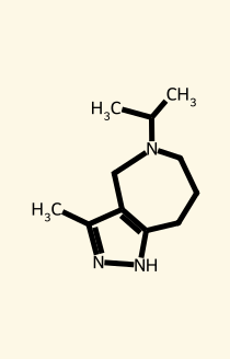 Cc1n[nH]c2c1CN(C(C)C)CCC2